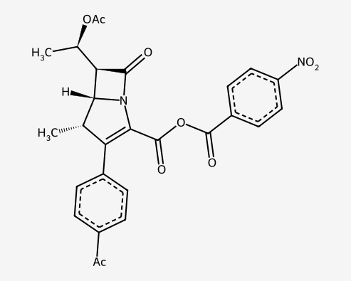 CC(=O)O[C@H](C)[C@H]1C(=O)N2C(C(=O)OC(=O)c3ccc([N+](=O)[O-])cc3)=C(c3ccc(C(C)=O)cc3)[C@H](C)[C@H]12